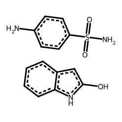 Nc1ccc(S(N)(=O)=O)cc1.Oc1cc2ccccc2[nH]1